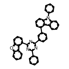 c1ccc(-c2nc(-c3cccc(-c4cccc5c4c4ccccc4n5-c4ccccc4)c3)nc(-c3cccc4oc5ccccc5c34)n2)cc1